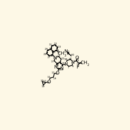 C=C(F)C(=O)N1CCN(c2nc(OCCCOC3CC3)nc3c2CCN(c2cccc4cccc(C)c24)C3)C[C@@H]1CC#N